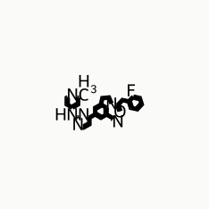 Cc1cc(Nc2nccc(-c3cc(C#N)c4c(c3)CCN4C(=O)Cc3ccccc3F)n2)ccn1